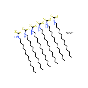 CCCCCCCCCCCCCNC(=S)[S-].CCCCCCCCCCCCCNC(=S)[S-].CCCCCCCCCCCCCNC(=S)[S-].CCCCCCCCCCCCCNC(=S)[S-].CCCCCCCCCCCCCNC(=S)[S-].CCCCCCCCCCCCCNC(=S)[S-].[Mo+6]